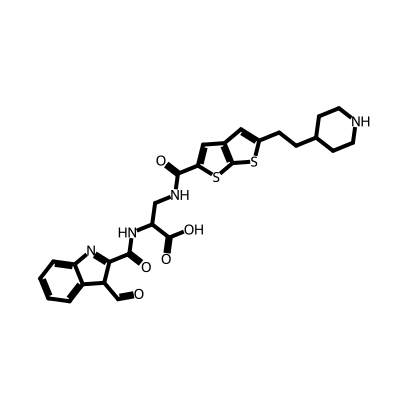 O=CC1C(C(=O)NC(CNC(=O)c2cc3cc(CCC4CCNCC4)sc3s2)C(=O)O)=Nc2ccccc21